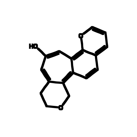 OC1=Cc2c3c(ccc2=C2COCCC2=C1)=CC=CO3